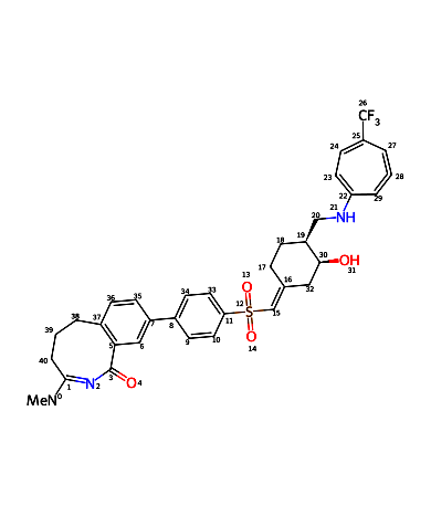 CN/C1=N/C(=O)c2cc(-c3ccc(S(=O)(=O)/C=C4\CC[C@@H](CNC5=CC=C(C(F)(F)F)C=C=C5)[C@@H](O)C4)cc3)ccc2CCC1